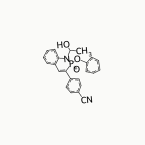 CC(O)N1c2ccccc2C=C(c2ccc(C#N)cc2)P1(=O)Oc1ccccc1